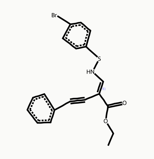 CCOC(=O)/C(C#Cc1ccccc1)=C/NSc1ccc(Br)cc1